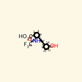 O=C(O)c1cccc(C#Cc2cccc(O)c2)c1NC(=O)C(F)(F)F